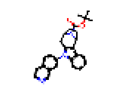 CC(C)(C)OC(=O)N1C2CCC1c1c(n(-c3ccc4ccncc4c3)c3ccccc13)C2